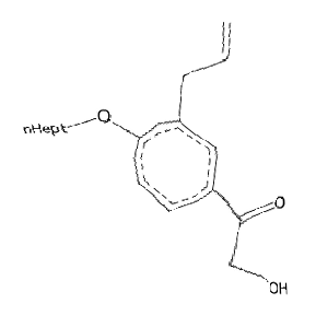 C=CCc1cc(C(=O)CO)ccc1OCCCCCCC